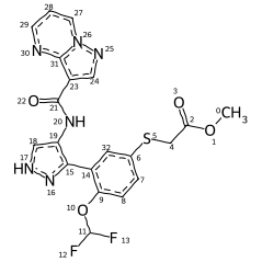 COC(=O)CSc1ccc(OC(F)F)c(-c2n[nH]cc2NC(=O)c2cnn3cccnc23)c1